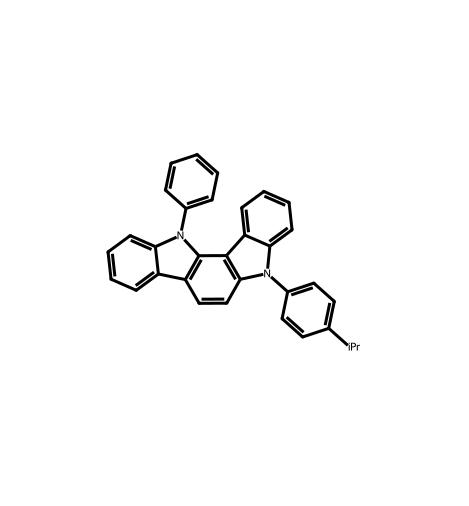 CC(C)c1ccc(-n2c3ccccc3c3c2ccc2c4ccccc4n(-c4ccccc4)c23)cc1